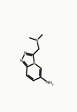 CN(C)Cc1nnc2ccc(N)cn12